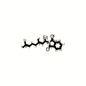 CCC(/C=C(\C)CCC=C(C)C)N1C(=O)c2ccccc2C1=O